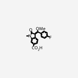 COC(=C1C(=O)N(C)c2cc(C(=O)O)ccc21)c1ccc(F)cc1